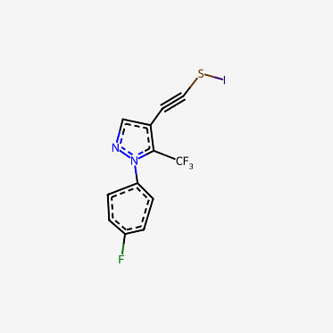 Fc1ccc(-n2ncc(C#CSI)c2C(F)(F)F)cc1